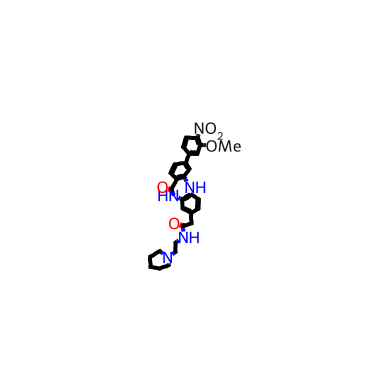 COc1cc(-c2ccc3c(c2)Nc2ccc(CC(=O)NCCN4CCCCC4)cc2NC3=O)ccc1[N+](=O)[O-]